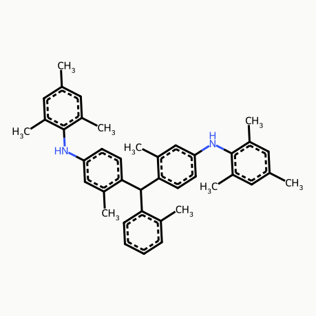 Cc1cc(C)c(Nc2ccc(C(c3ccccc3C)c3ccc(Nc4c(C)cc(C)cc4C)cc3C)c(C)c2)c(C)c1